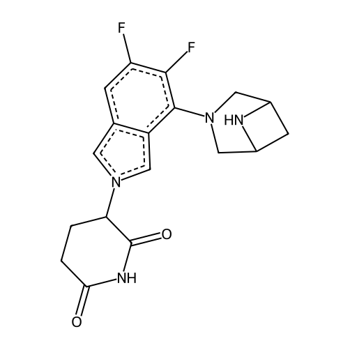 O=C1CCC(n2cc3cc(F)c(F)c(N4CC5CC(C4)N5)c3c2)C(=O)N1